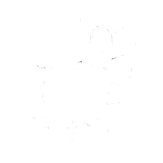 CO[C@]12/C=C/C[C@H](C)C/[SH](=O)=N\C(=O)c3ccc4c(c3)N(C[C@@]3(CCCc5cc(Cl)ccc53)CO4)C[C@@H](C1)C2